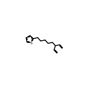 C=CC(C=C)CCCCCc1cccs1